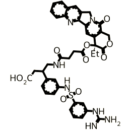 CC[C@@]1(OC(=O)CCC(=O)NCC(CC(=O)O)c2cccc(NS(=O)(=O)c3cccc(NC(=N)N)c3)c2)C(=O)OCc2c1cc1n(c2=O)Cc2cc3ccccc3nc2-1